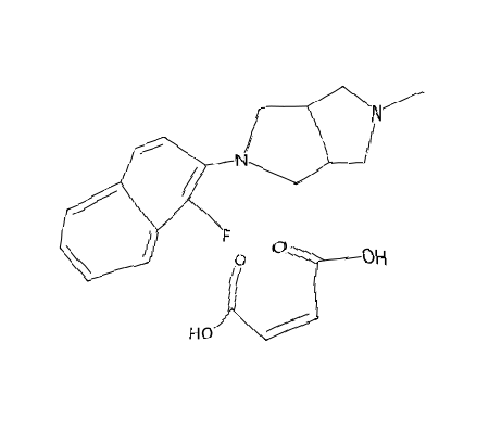 CN1CC2CN(c3ccc4ccccc4c3F)CC2C1.O=C(O)/C=C\C(=O)O